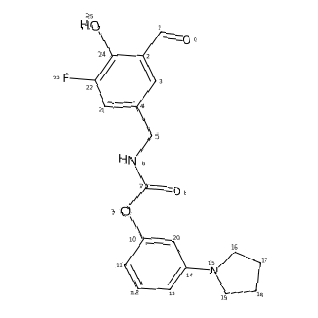 O=Cc1cc(CNC(=O)Oc2cccc(N3CCCC3)c2)cc(F)c1O